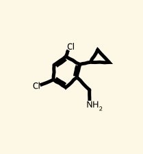 NCc1[c]c(Cl)cc(Cl)c1C1CC1